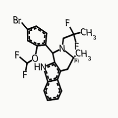 C[C@@H]1Cc2c([nH]c3ccccc23)C(c2ccc(Br)cc2OC(F)F)N1CC(C)(F)F